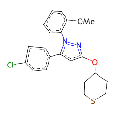 COc1ccccc1-n1nc(OC2CCSCC2)cc1-c1ccc(Cl)cc1